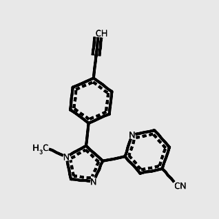 C#Cc1ccc(-c2c(-c3cc(C#N)ccn3)ncn2C)cc1